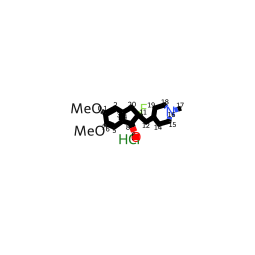 COc1cc2c(cc1OC)C(=O)C(F)(CC1CCN(C)CC1)C2.Cl